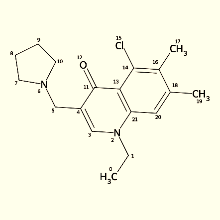 CCn1cc(CN2CCCC2)c(=O)c2c(Cl)c(C)c(C)cc21